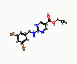 CCOC(=O)c1cnc(NCc2cc(Br)cc(Br)c2)nc1